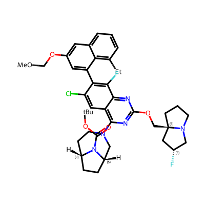 CCc1cccc2cc(OCOC)cc(-c3c(Cl)cc4c(N5CC[C@H]6CC[C@@H](C5)N6C(=O)OC(C)(C)C)nc(OC[C@@]56CCCN5C[C@H](F)C6)nc4c3F)c12